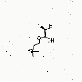 C=C(F)C(O)OCC[Si](C)(C)C